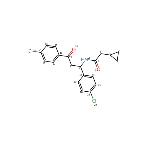 O=C(CC1CC1)NC(CC(=O)c1ccc(Cl)cc1)c1ccc(Cl)cc1